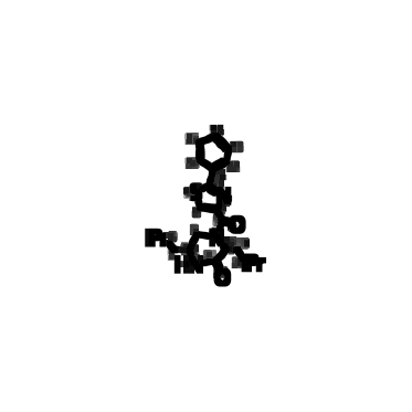 CC(C)C[C@H]1CN(C(=O)c2csc(-c3ccccc3)n2)[C@@H](CC(C)C)C(=O)N1